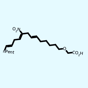 CCCCC/C=C/C/C=C(/C/C=C/CCCCCOCC(=O)O)[N+](=O)[O-]